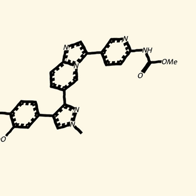 COC(=O)Nc1ccc(-c2cnc3ccc(-c4nn(C)cc4-c4ccc(F)c(OC)c4)cn23)cn1